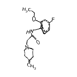 C=C1CCN(CC(=O)Nc2ccc(F)cc2OCC)CC1